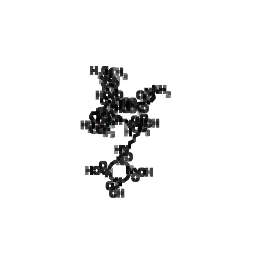 COc1ccc(C[C@H](NC(=O)[C@@H](CCCNC(C)=O)NC(=O)OC(C)(C)C)C(=O)NC2[C@@H](COP(=O)(O)O[C@@H]3C[C@H](n4ccc(N)nc4=O)O[C@@H]3COP(=O)(O)OCCCCCCNC(=O)CN3CCCN(CC(=O)O)CCN(CC(=O)O)CCCN(CC(=O)O)CC3)O[C@@H](n3cnc4c(N(C)C)ncnc43)[C@H]2O)cc1